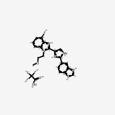 COCCn1c(-c2c[nH]c(-c3ccc4scnc4c3)n2)nc2c(F)cccc21.O=C(O)C(F)(F)F